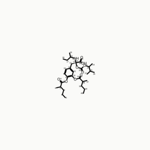 CCCC(C)C(=O)Oc1ccc(C[C@](NC(C)CC)(OC(=O)OC(C)C(C)C)C(=O)O)cc1OC(=O)C(C)CCC